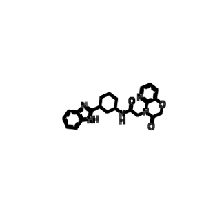 O=C(CN1C(=O)COc2cccnc21)NC1CCCC(c2nc3ccccc3[nH]2)C1